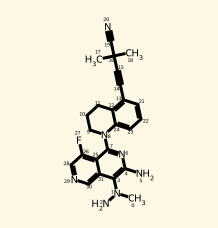 CN(N)c1c(N)nc(N2CCCc3c(C#CC(C)(C)C#N)cccc32)c2c(F)cncc12